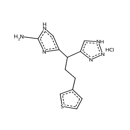 Cl.Nc1nc(C(CCc2ccsc2)c2c[nH]nn2)c[nH]1